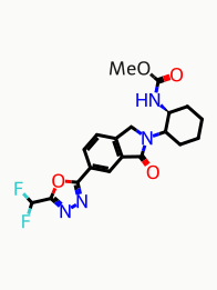 COC(=O)N[C@H]1CCCCC1N1Cc2ccc(-c3nnc(C(F)F)o3)cc2C1=O